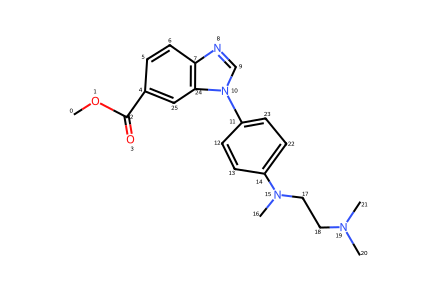 COC(=O)c1ccc2ncn(-c3ccc(N(C)CCN(C)C)cc3)c2c1